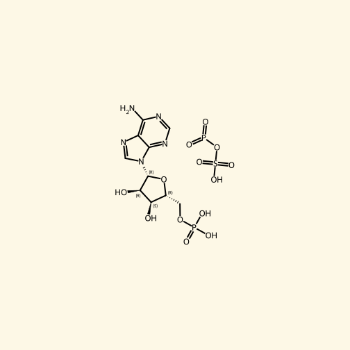 Nc1ncnc2c1ncn2[C@@H]1O[C@H](COP(=O)(O)O)[C@@H](O)[C@H]1O.O=P(=O)OS(=O)(=O)O